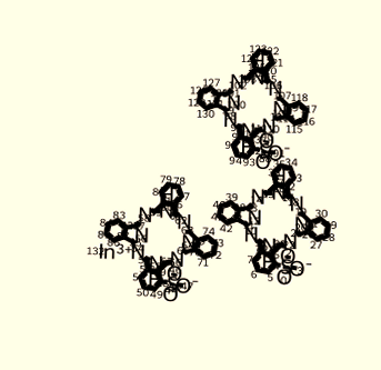 O=S(=O)([O-])c1cccc2c3nc4nc(nc5[nH]c(nc6nc(nc([nH]3)c12)-c1ccccc1-6)c1ccccc51)-c1ccccc1-4.O=S(=O)([O-])c1cccc2c3nc4nc(nc5[nH]c(nc6nc(nc([nH]3)c12)-c1ccccc1-6)c1ccccc51)-c1ccccc1-4.O=S(=O)([O-])c1cccc2c3nc4nc(nc5[nH]c(nc6nc(nc([nH]3)c12)-c1ccccc1-6)c1ccccc51)-c1ccccc1-4.[In+3]